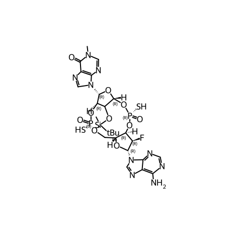 Cn1cnc2c(ncn2[C@@H]2O[C@@H]3O[P@](=O)(S)O[C@H]4[C@@H](F)[C@H](n5cnc6c(N)ncnc65)O[C@@H]4CO[P@](=O)(S)O[C@@H]2C3O[Si](C)(C)C(C)(C)C)c1=O